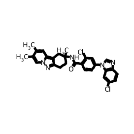 Cc1cc2c3c(nn2cc1C)CCC(C)(NC(=O)c1ccc(-n2cnc4ccc(Cl)cc42)cc1Cl)C3